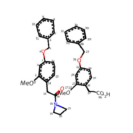 COc1cc(OCc2ccccc2)ccc1CC(=O)N1CCC1.COc1cc(OCc2ccccc2)ccc1CC(=O)O